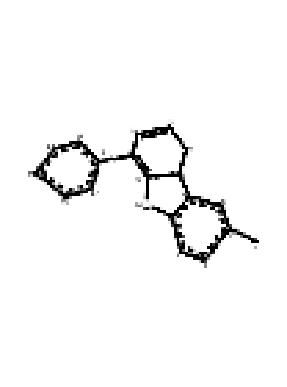 Cc1ccc2c(c1)C1CC=CC(c3ccccc3)=C1O2